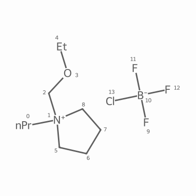 CCC[N+]1(COCC)CCCC1.F[B-](F)(F)Cl